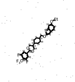 CCOc1ccc2cc(OCC3CCC(C4COC(c5cc(F)c(C(F)(F)F)c(F)c5)OC4)CC3)sc2c1